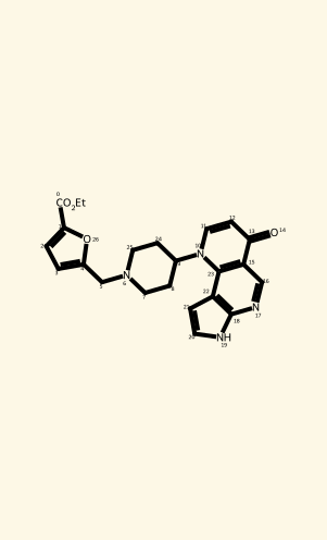 CCOC(=O)c1ccc(CN2CCC(n3ccc(=O)c4cnc5[nH]ccc5c43)CC2)o1